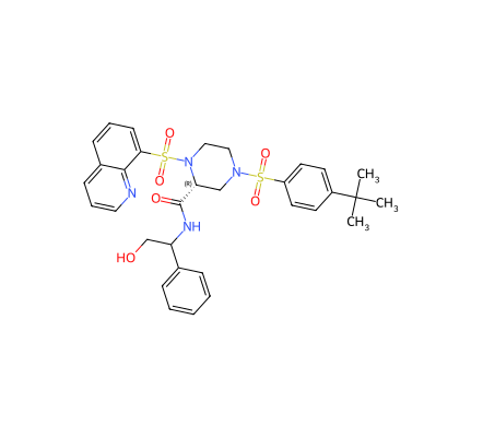 CC(C)(C)c1ccc(S(=O)(=O)N2CCN(S(=O)(=O)c3cccc4cccnc34)[C@@H](C(=O)NC(CO)c3ccccc3)C2)cc1